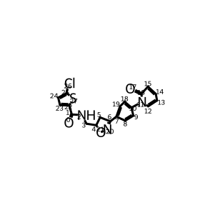 O=C(NCC1CC(c2ccc(-n3ccccc3=O)cc2)=NO1)c1ccc(Cl)s1